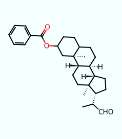 CC(C=O)[C@H]1CC[C@H]2[C@@H]3CCC4CCC(OC(=O)c5ccccc5)C[C@]4(C)[C@H]3CC[C@]12C